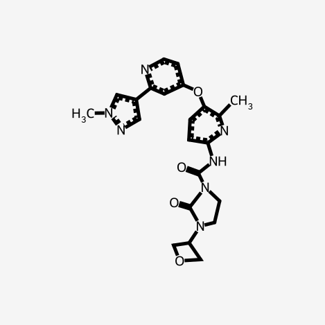 Cc1nc(NC(=O)N2CCN(C3COC3)C2=O)ccc1Oc1ccnc(-c2cnn(C)c2)c1